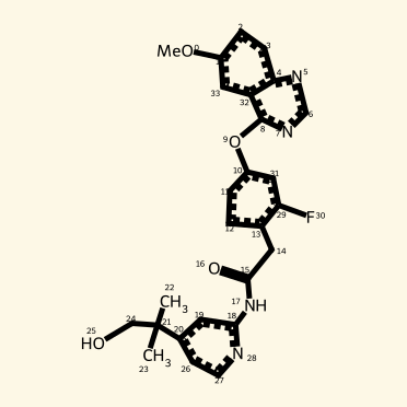 COc1ccc2ncnc(Oc3ccc(CC(=O)Nc4cc(C(C)(C)CO)ccn4)c(F)c3)c2c1